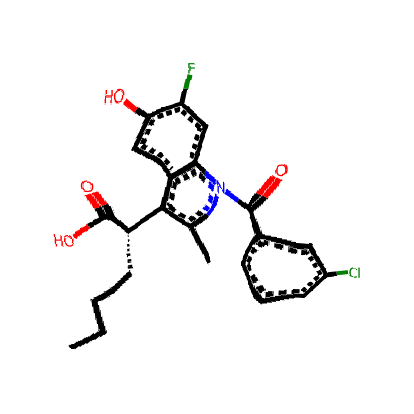 CCCC[C@H](C(=O)O)c1c(C)n(C(=O)c2cccc(Cl)c2)c2cc(F)c(O)cc12